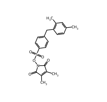 CC1=C(C)C(=O)N(OS(=O)(=O)c2ccc(Cc3ccc(C)cc3C)cc2)C1=O